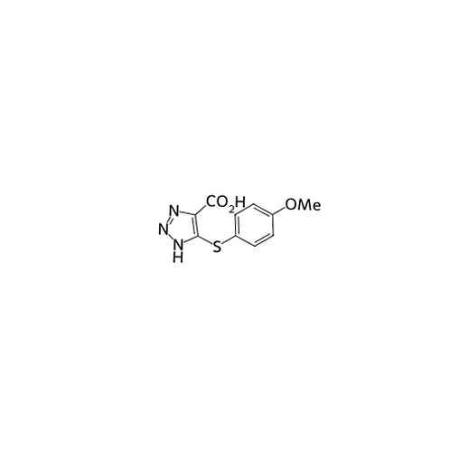 COc1ccc(Sc2[nH]nnc2C(=O)O)cc1